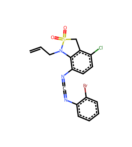 C=CCN1c2c(N=C=Nc3ccccc3Br)ccc(Cl)c2CS1(=O)=O